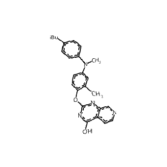 CCC(C)c1ccc(N(C)c2ccc(Oc3nc(O)c4ccncc4n3)c(C)c2)cc1